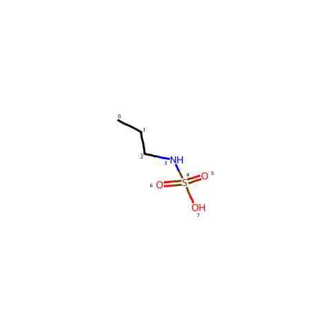 CC[CH]NS(=O)(=O)O